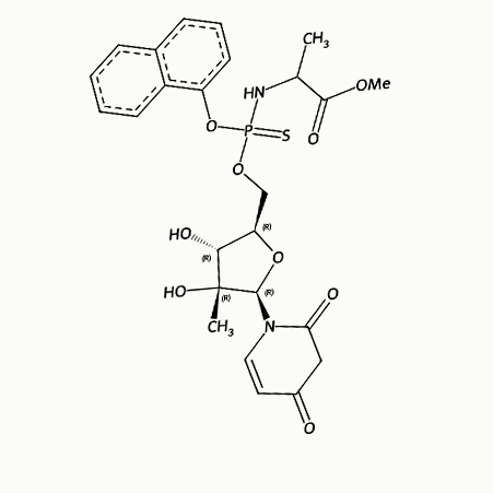 COC(=O)C(C)NP(=S)(OC[C@H]1O[C@@H](N2C=CC(=O)CC2=O)[C@](C)(O)[C@@H]1O)Oc1cccc2ccccc12